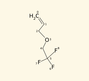 C=CCOCC(F)(F)F